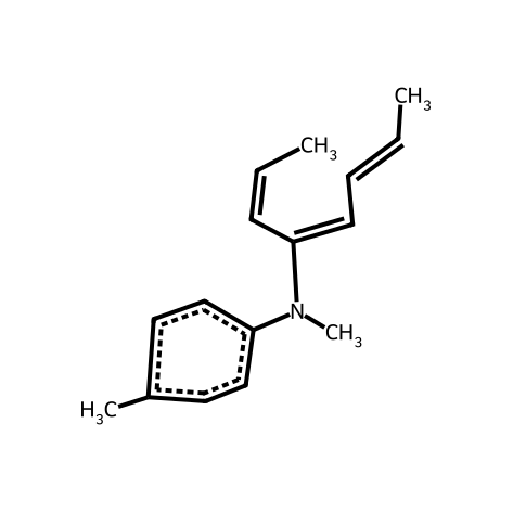 C\C=C/C(=C\C=C\C)N(C)c1ccc(C)cc1